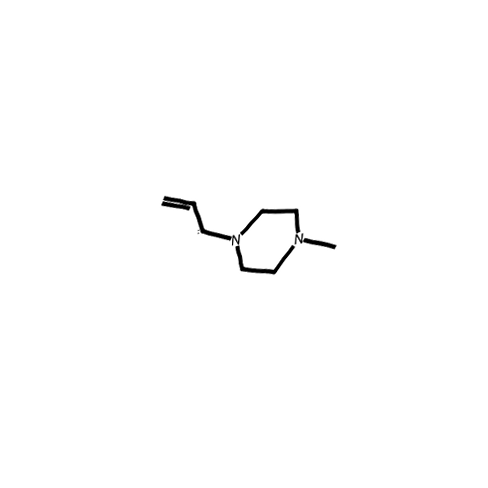 C=C[C]N1CCN(C)CC1